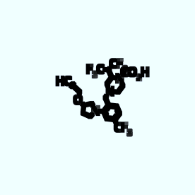 C#CCOC1CCN(c2cc(C(F)(F)F)ccc2CN2CCN(C(=O)O)C(C(C(F)(F)F)C(F)(F)F)C2)C1